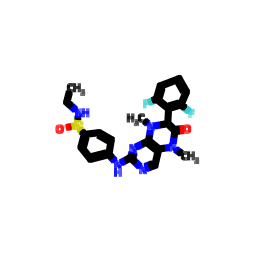 CCN[S+]([O-])c1ccc(Nc2ncc3c(n2)N(C)C(c2c(F)cccc2F)C(=O)N3C)cc1